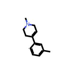 Cc1cc[c]c(C2=CCN(C)CC2)c1